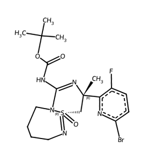 CC(C)(C)OC(=O)NC1=N[C@](C)(c2nc(Br)ccc2F)C[S@]2(=O)=NCCCCN12